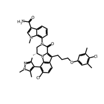 Cc1cc(OCCCc2c3n(c4c(-c5c(C)nn(C)c5C)c(Cl)ccc24)[C@H](C)CN(c2cccc4c(C(N)=O)cn(C)c24)C3=O)cc(C)c1Cl